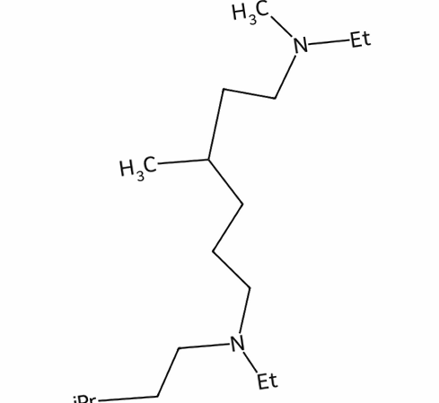 CCN(C)CCC(C)CCCN(CC)CCC(C)C